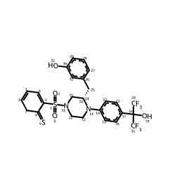 O=S(=O)(C1=CC=CCC1=S)N1CCN(c2ccc(C(O)(C(F)(F)F)C(F)(F)F)cc2)[C@@H](Cc2cccc(O)c2)C1